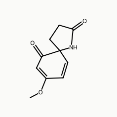 COC1=CC(=O)C2(C=C1)CCC(=O)N2